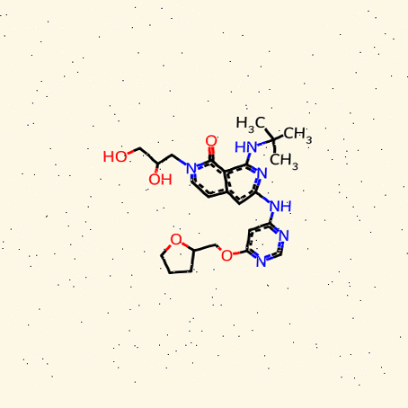 CC(C)(C)Nc1nc(Nc2cc(OCC3CCCO3)ncn2)cc2ccn(CC(O)CO)c(=O)c12